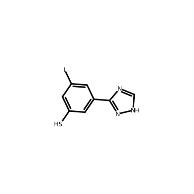 Sc1cc(I)cc(-c2nc[nH]n2)c1